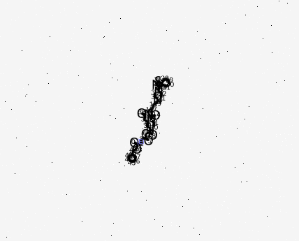 O=C(/C=C/C(=O)OC(=O)N1CCN2C(=O)N(CCCCN3CCN(c4nsc5ccccc45)CC3)C(=O)CC2C1)OCc1ccccc1